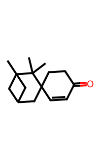 CC12CC(C1)CC1(C=CC(=O)CC1)C2(C)C